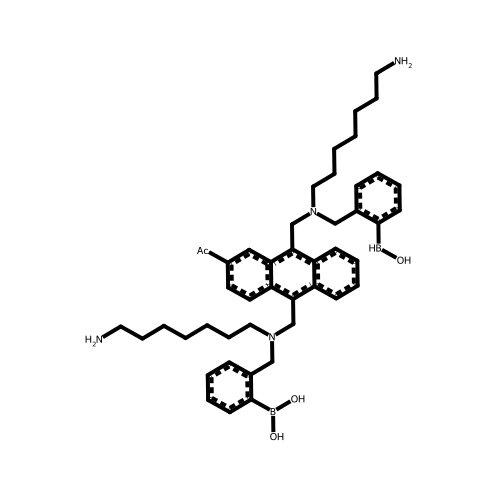 CC(=O)c1ccc2c(CN(CCCCCCCN)Cc3ccccc3B(O)O)c3ccccc3c(CN(CCCCCCCN)Cc3ccccc3BO)c2c1